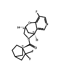 O=C(N1C[C@@H]2C[C@H]1c1cncc(F)c1O2)[C@@]12CCC(CC1(F)F)C2